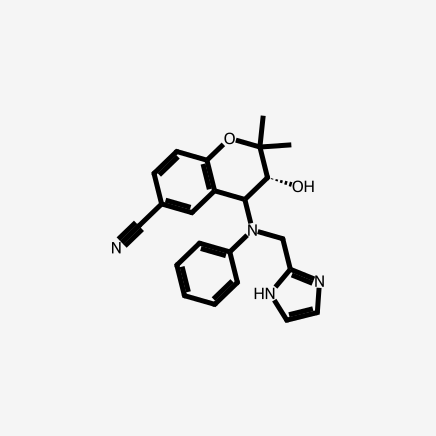 CC1(C)Oc2ccc(C#N)cc2C(N(Cc2ncc[nH]2)c2ccccc2)[C@H]1O